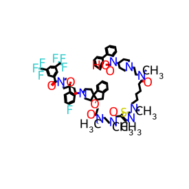 Cc1nc(N(C)CCCCCC(=O)N(C)CCN2CCC(N(C(=O)O)c3ccccc3-c3ccccc3)CC2)sc1C(=O)N(C)CCN(C)C(=O)CO[C@H]1Cc2ccccc2C12CCN(CC[C@@]1(c3ccc(F)cc3)CN(C(=O)c3cc(C(F)(F)F)cc(C(F)(F)F)c3)CO1)CC2